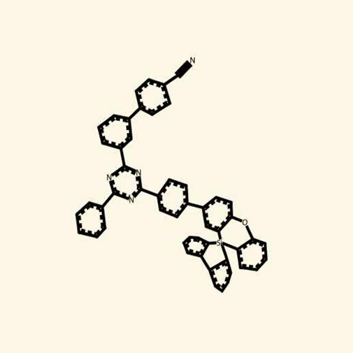 N#Cc1ccc(-c2cccc(-c3nc(-c4ccccc4)nc(-c4ccc(-c5ccc6c(c5)[Si]5(c7ccccc7O6)c6ccccc6-c6ccccc65)cc4)n3)c2)cc1